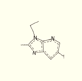 CCn1c(C)nc2cc(I)cnc21